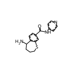 NC1CCCSc2cc(C(=O)Nc3ccncc3)ccc21